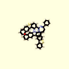 C1=CC(c2ccccc2)=NC(c2ccc3sc4cc5ccccc5cc4c3c2-n2c3ccccc3c3cc4ccccc4cc32)=NC=1c1ccc2c(c1)sc1ccccc12